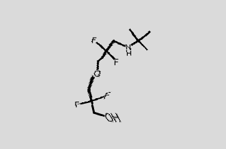 CC(C)(C)NCC(F)(F)COCC(F)(F)CO